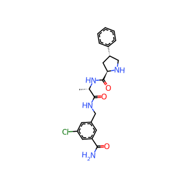 C[C@H](NC(=O)[C@H]1C[C@H](c2ccccc2)CN1)C(=O)NCc1cc(Cl)cc(C(N)=O)c1